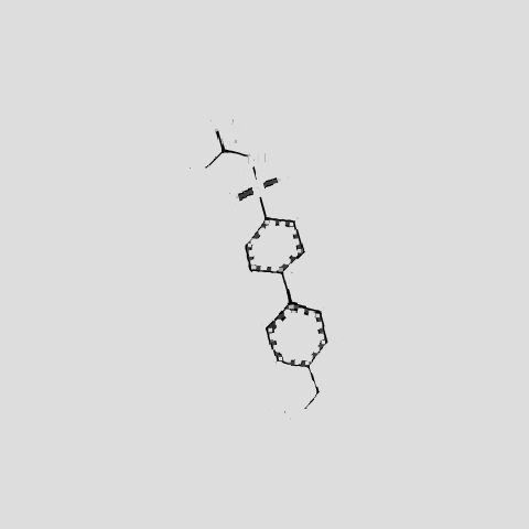 CC(=O)NCc1ccc(-c2ccc(S(=O)(=O)NC(C(=O)O)C(C)C)cc2)cc1